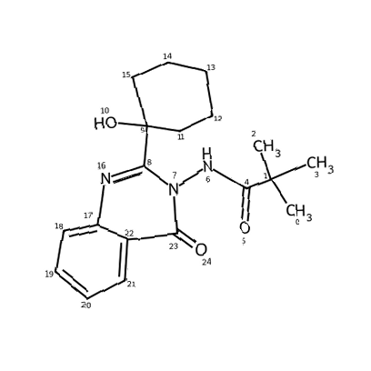 CC(C)(C)C(=O)Nn1c(C2(O)CCCCC2)nc2ccccc2c1=O